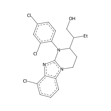 CCC(CO)C1CCn2c(nc3c(Cl)cccc32)N1c1ccc(Cl)cc1Cl